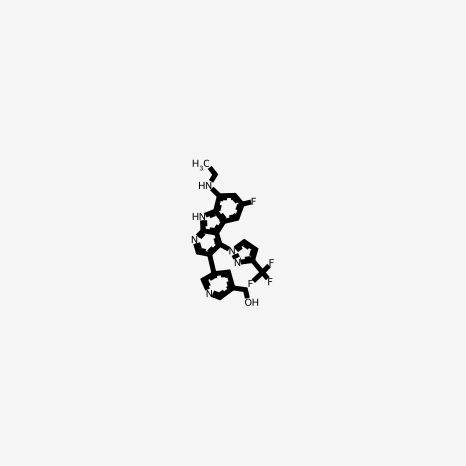 CCNc1cc(F)cc2c1[nH]c1ncc(-c3cncc(CO)c3)c(-n3ccc(C(F)(F)F)n3)c12